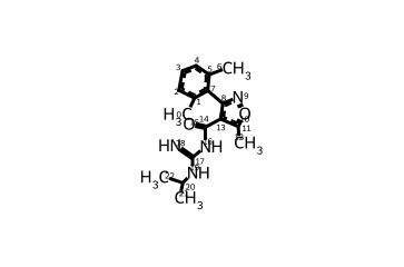 Cc1cccc(C)c1-c1noc(C)c1C(=O)NC(=N)NC(C)C